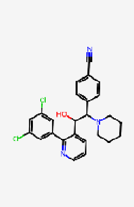 N#Cc1ccc(C(C(O)c2cccnc2-c2cc(Cl)cc(Cl)c2)N2CCCCC2)cc1